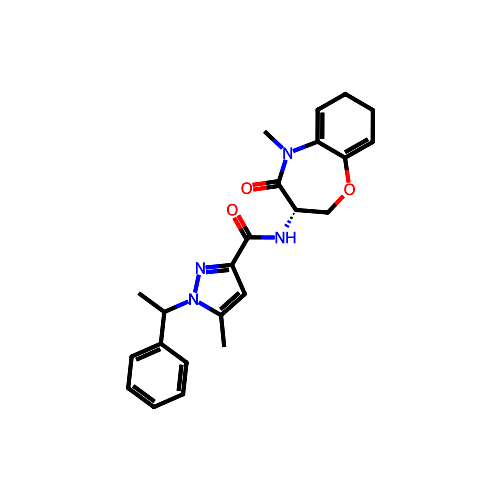 Cc1cc(C(=O)N[C@H]2COC3=CCCC=C3N(C)C2=O)nn1C(C)c1ccccc1